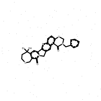 CCC1(O)CCOCc2c1cc1n(c2=O)Cc2cc3c4c(ccc3nc2-1)OCN(Cc1ccccc1)C4=O